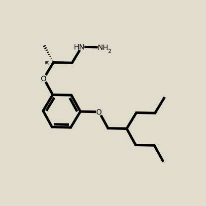 CCCC(CCC)COc1cccc(O[C@H](C)CNN)c1